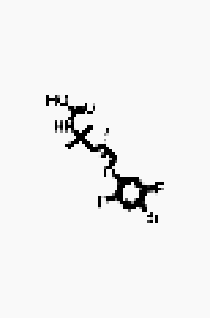 C[C@H](COc1cc(F)c(Br)cc1F)CC(C)(C)NC(=O)O